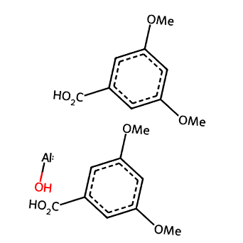 COc1cc(OC)cc(C(=O)O)c1.COc1cc(OC)cc(C(=O)O)c1.[OH][Al]